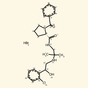 Br.CC(C)(CNC(=O)[C@@H]1CCCN1C(=O)c1ccccc1)NCC(O)c1ccccc1Cl